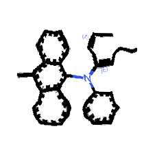 C/C=C\C(=C/CC)N(c1ccccc1)c1c2ccccc2c(C)c2ccccc12